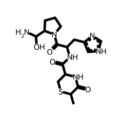 CC1SCC(C(=O)NC(Cc2c[nH]cn2)C(=O)N2CCCC2C(N)O)NC1=O